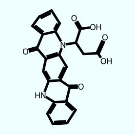 O=C(O)CC(C(=O)O)n1c2ccccc2c(=O)c2cc3[nH]c4ccccc4c(=O)c3cc21